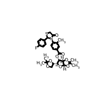 Cc1cc(C(=O)O[C@@H]2[C@H]3OC(C)(C)O[C@H]3O[C@@H]2C2COC(C)(C)O2)ccc1N1C(=O)CSC1c1ccc(F)cc1